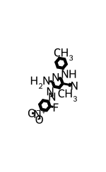 Cc1ccc(Nc2nc(N)c(N=Nc3ccc([N+](=O)[O-])cc3F)c(C)c2C#N)cc1